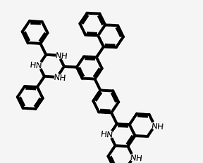 C1=CC2NC(c3ccc(-c4cc(-c5cccc6ccccc56)cc(C5NC(c6ccccc6)NC(c6ccccc6)N5)c4)cc3)=C3C=CNCC3=C2NC1